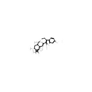 CO[C@@H]1[C@H]2C(=O)O[C@@H]1C[C@@H]1CN3CCc4c([nH]c5cc(O)ccc45)[C@H]3C[C@@H]12